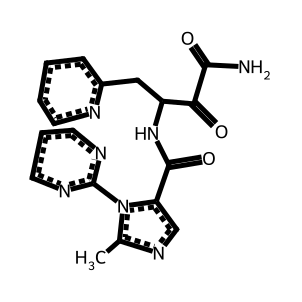 Cc1ncc(C(=O)NC(Cc2ccccn2)C(=O)C(N)=O)n1-c1ncccn1